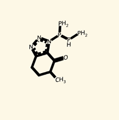 CC1CCc2nnn(P(P)PP)c2C1=O